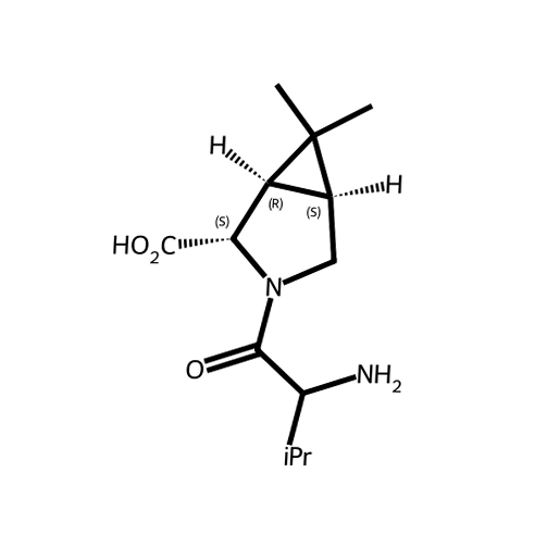 CC(C)C(N)C(=O)N1C[C@H]2[C@@H]([C@H]1C(=O)O)C2(C)C